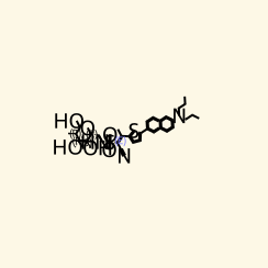 CCCN(CCC)c1ccc2cc(-c3ccc(/C(C)=C(\C#N)S(=O)(=O)NC[C@H]4OC(O)[C@H](C)[C@@H](O)[C@@H]4O)s3)ccc2c1